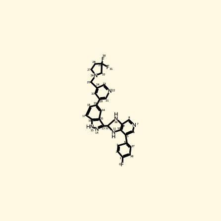 Fc1ccc(-c2cncc3c2NC(c2n[nH]c4ccc(-c5cncc(CN6CCC(F)(F)C6)c5)cc24)N3)cc1